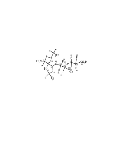 CCC(C)(C)CCC(C)(N)C(C)(CC)C(CC(C)(C)CC)OC(F)(F)C(F)(OC(F)(F)C(F)(F)S(=O)(=O)O)C(F)(F)F